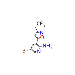 Nc1ncc(Br)cc1-c1cc(CC(F)(F)F)no1